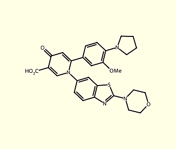 COc1cc(-c2cc(=O)c(C(=O)O)cn2-c2ccc3nc(N4CCOCC4)sc3c2)ccc1N1CCCC1